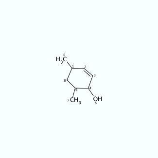 CC1C=CC(O)C(C)C1